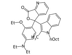 CCCCCCCCn1c(C)c(C2(c3ccc(N(CC)CC)cc3OCC)OC(=O)c3ncccc32)c2ccccc21